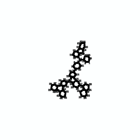 c1ccc(N(c2ccc(-c3ccc4c(c3)c3cc(-c5cccc6ccccc56)ccc3n4-c3ccc4c5ccccc5c5ccccc5c4c3)cc2)c2cccc3c2sc2ccccc23)cc1